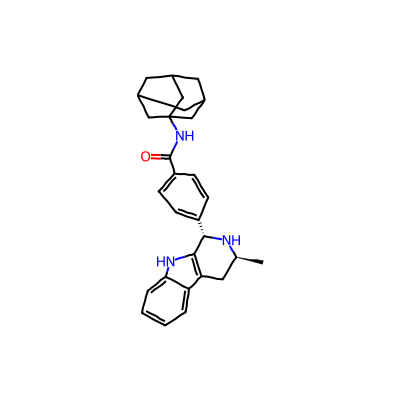 C[C@H]1Cc2c([nH]c3ccccc23)[C@H](c2ccc(C(=O)NC34CC5CC(CC(C5)C3)C4)cc2)N1